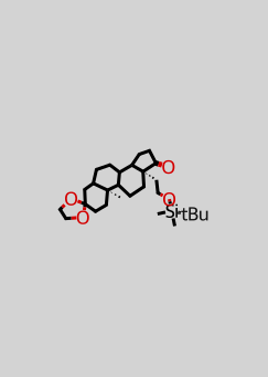 CC(C)(C)[Si](C)(C)OCC[C@]12CCC3C(CCC4CC5(CC[C@@]43C)OCCO5)C1CCC2=O